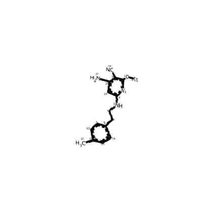 CCOc1nc(NCCc2ccc(C)cc2)cc(N)c1C#N